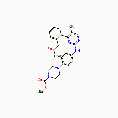 COC(=O)CC1=CC=CCC1c1nc(Nc2ccc(N3CCN(C(=O)OC(C)(C)C)CC3)cc2)ncc1C(F)(F)F